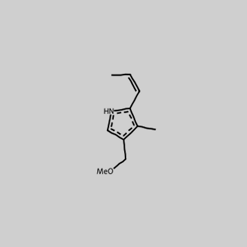 C/C=C\c1[nH]cc(COC)c1C